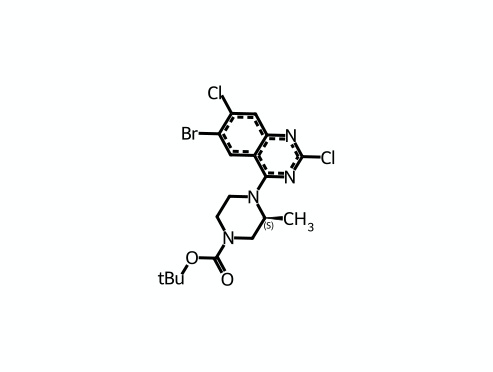 C[C@H]1CN(C(=O)OC(C)(C)C)CCN1c1nc(Cl)nc2cc(Cl)c(Br)cc12